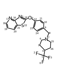 FC(F)(F)C1CCN(Cc2ccc(Oc3nc4ncccc4s3)cc2)CC1